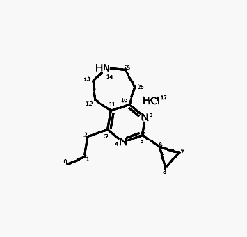 CCCc1nc(C2CC2)nc2c1CCNCC2.Cl